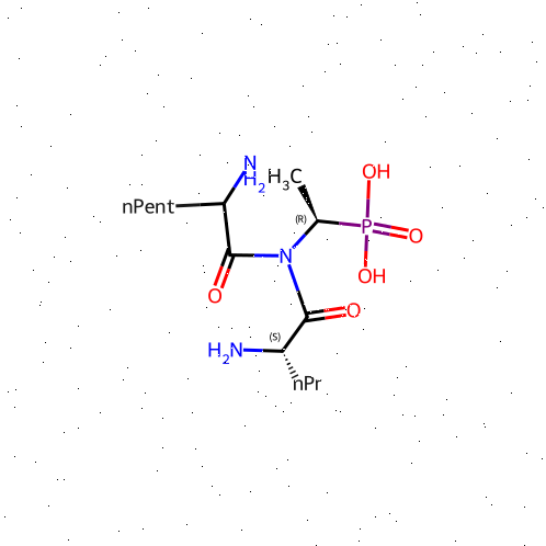 CCCCCC(N)C(=O)N(C(=O)[C@@H](N)CCC)[C@@H](C)P(=O)(O)O